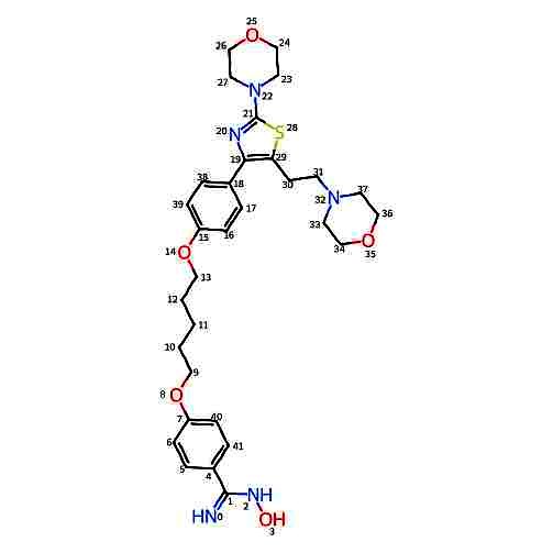 N=C(NO)c1ccc(OCCCCCOc2ccc(-c3nc(N4CCOCC4)sc3CCN3CCOCC3)cc2)cc1